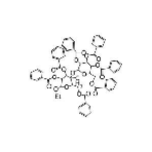 CCOC1OC(COC(=O)c2ccccc2)[C@@](C)(OC2OC(COC(=O)c3ccccc3)[C@H](OC(=O)c3ccccc3)C(OC(=O)c3ccccc3)C2OC(=O)c2ccccc2)C(OC(=O)c2ccccc2)C1OC(=O)c1ccccc1